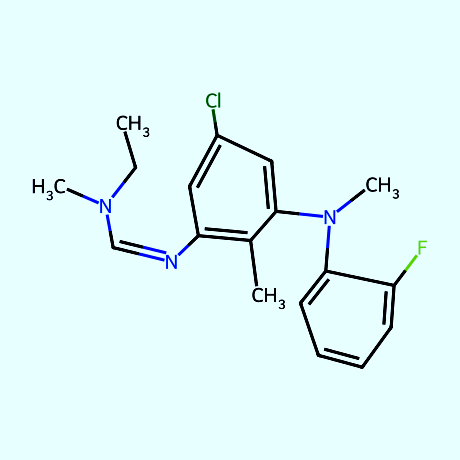 CCN(C)/C=N\c1cc(Cl)cc(N(C)c2ccccc2F)c1C